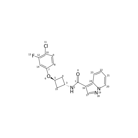 O=C(N[C@H]1C[C@H](Oc2ccc(Cl)c(F)c2)C1)c1cnn2ccccc12